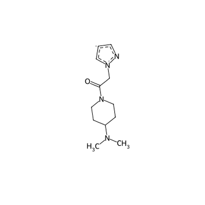 CN(C)C1CCN(C(=O)Cn2c[c]cn2)CC1